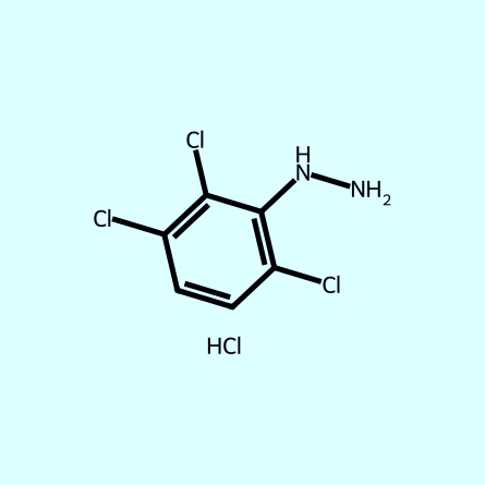 Cl.NNc1c(Cl)ccc(Cl)c1Cl